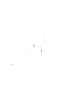 C(/Cc1ccccc1)=N\Nc1ccccc1